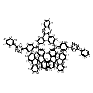 c1ccc(-c2nnc(-c3ccc(N(c4ccc(-c5nc6ccccc6nc5-c5ccc(N(c6ccc(-c7nnc(-c8ccccc8)o7)cc6)c6ccc7c(c6)C6(c8ccccc8-c8ccccc86)c6ccccc6-7)cc5)cc4)c4ccc5c(c4)C4(c6ccccc6-c6ccccc64)c4ccccc4-5)cc3)o2)cc1